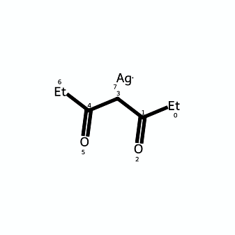 CCC(=O)CC(=O)CC.[Ag]